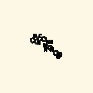 Cc1ccc(Nc2ncnc3c2CCN(C2CCS(=O)(=O)CC2)C3)cc1-c1cc2ccccc2cn1